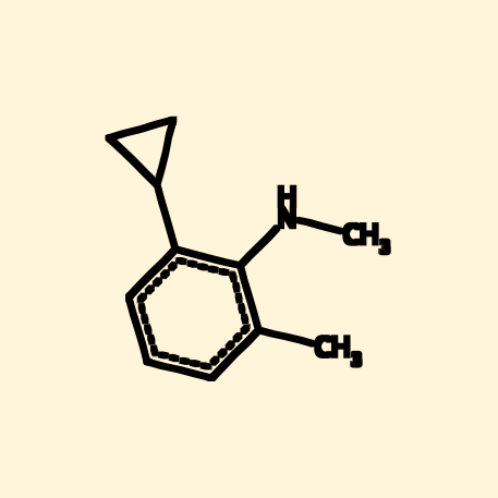 CNc1c(C)cccc1C1CC1